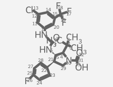 CC(C)(C)C1[C@@H](NC(=O)Nc2cc(Cl)cc(C(F)(F)F)c2)[C@H](c2ccc(F)cc2)CN1C(=O)O